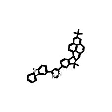 CC(C)(C)c1cc2ccc3cc4c(c5ccc(c1)c2c35)-c1ccc(-c2cc(-c3ccc5sc6ccccc6c5c3)ncn2)cc1C4(C)C